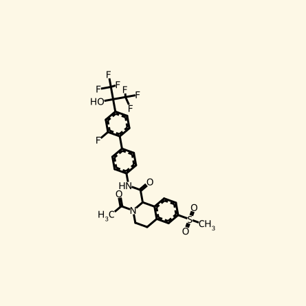 CC(=O)N1CCc2cc(S(C)(=O)=O)ccc2C1C(=O)Nc1ccc(-c2ccc(C(O)(C(F)(F)F)C(F)(F)F)cc2F)cc1